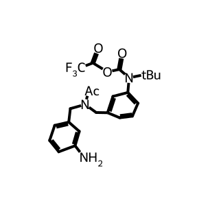 CC(=O)N(Cc1cccc(N)c1)Cc1cccc(N(C(=O)OC(=O)C(F)(F)F)C(C)(C)C)c1